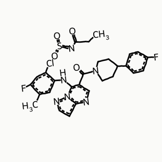 CCC(=O)N=S(=O)=O.Cc1cc(Nc2c(C(=O)N3CCC(c4ccc(F)cc4)CC3)cnc3ccnn23)c(Cl)cc1F